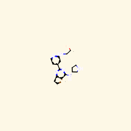 C[C@@H](O)CNc1cc(-c2nc(N[C@@H]3CCNC3)c3sccc3n2)ccn1